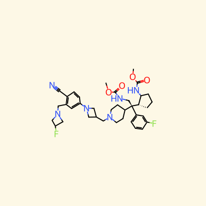 COC(=O)NC[C@@](c1cccc(F)c1)(C1CCN(CC2CN(c3ccc(C#N)c(CN4CC(F)C4)c3)C2)CC1)[C@H]1CCC[C@@H]1NC(=O)OC